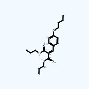 CCCCOc1ccc(C=C(C(=O)OCCC)C(=O)OCCC)cc1